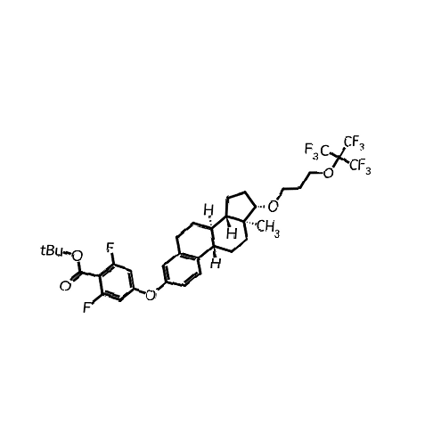 CC(C)(C)OC(=O)c1c(F)cc(Oc2ccc3c(c2)CC[C@@H]2[C@@H]3CC[C@]3(C)[C@@H](OCCCOC(C(F)(F)F)(C(F)(F)F)C(F)(F)F)CC[C@@H]23)cc1F